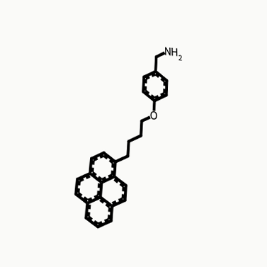 NCc1ccc(OCCCCc2ccc3ccc4cccc5ccc2c3c45)cc1